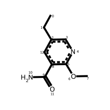 C[CH]c1cnc(OC)c(C(N)=O)c1